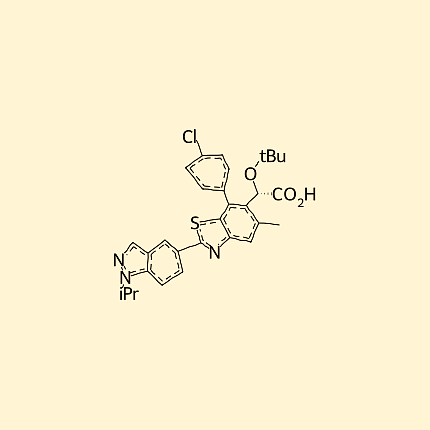 Cc1cc2nc(-c3ccc4c(cnn4C(C)C)c3)sc2c(-c2ccc(Cl)cc2)c1[C@H](OC(C)(C)C)C(=O)O